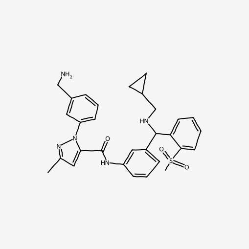 Cc1cc(C(=O)Nc2cccc(C(NCC3CC3)c3ccccc3S(C)(=O)=O)c2)n(-c2cccc(CN)c2)n1